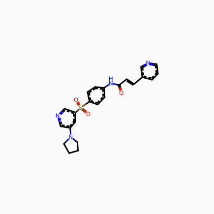 O=C(C=Cc1cccnc1)Nc1ccc(S(=O)(=O)c2cncc(N3CCCC3)c2)cc1